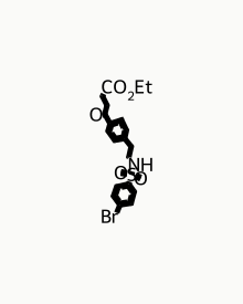 CCOC(=O)CCC(=O)c1ccc(CCNS(=O)(=O)c2ccc(Br)cc2)cc1